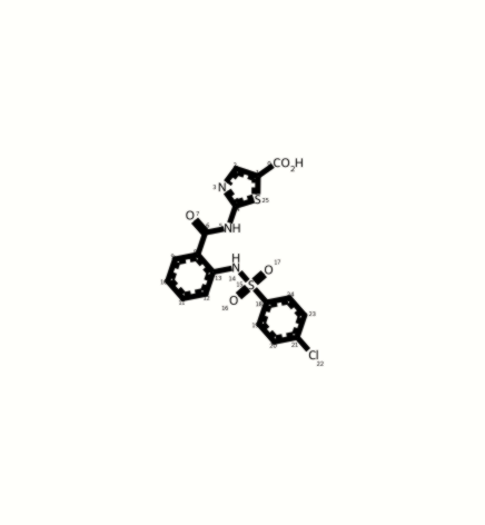 O=C(O)c1cnc(NC(=O)c2ccccc2NS(=O)(=O)c2ccc(Cl)cc2)s1